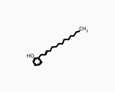 CCCCCCCCCCCCC=CCc1ccccc1O